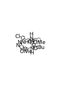 COC(=O)[C@@H](CC1CCCCC1)NC(=O)CCc1ccc(Cl)cc1Nc1ncnc2cc(OC)c(OCCCNC(=O)OC(C)(C)C)cc12